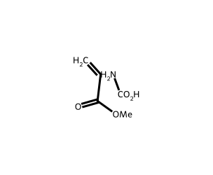 C=CC(=O)OC.NC(=O)O